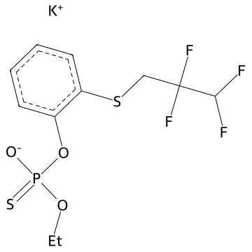 CCOP([O-])(=S)Oc1ccccc1SCC(F)(F)C(F)F.[K+]